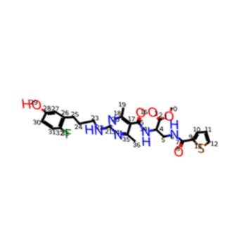 COC(=O)C(CNC(=O)c1cccs1)NC(=O)c1c(C)nc(NCCCc2cc(O)ccc2F)nc1C